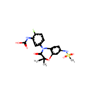 CC1(C)Oc2cc(NS(C)(=O)=O)ccc2N(c2ccc(F)c(NC(=O)O)c2)C1=O